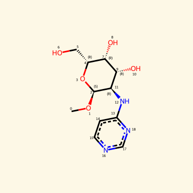 CO[C@H]1O[C@H](CO)[C@H](O)[C@H](O)[C@H]1Nc1ccncn1